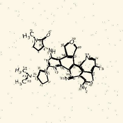 CN1CC[C@@H](Nc2nc(N3CC[C@H](N(C)C)C3)nc3c(F)c(-c4ncc(F)c5sc(N)c(C#N)c45)c4c(c23)COC4)C1=O